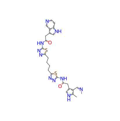 C/N=C\c1c(CC(=O)Nc2nnc(CCCCc3nnc(NC(=O)Cc4c[nH]c5ccncc45)s3)s2)c[nH]c1C